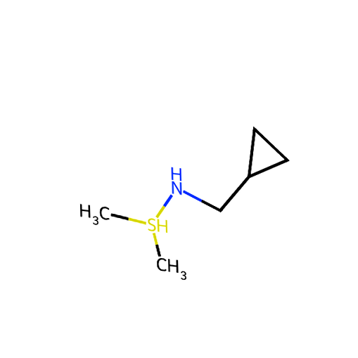 C[SH](C)NCC1CC1